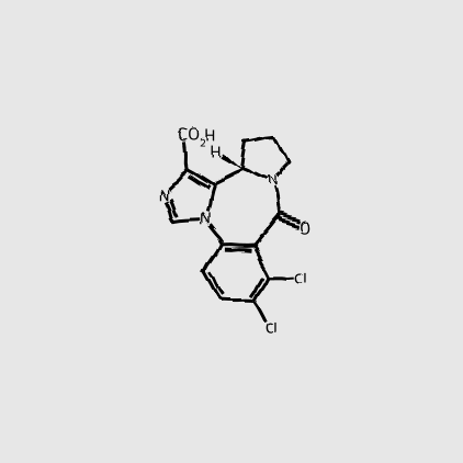 O=C(O)c1ncn2c1[C@@H]1CCCN1C(=O)c1c-2ccc(Cl)c1Cl